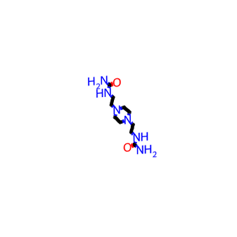 NC(=O)NCCN1CCN(CCNC(N)=O)CC1